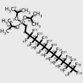 CC(C)O[Si](CCC(F)(F)C(F)(F)C(F)(F)C(F)(F)C(F)(F)C(F)(F)C(F)(F)C(F)(F)C(F)(F)C(F)(F)F)(OC(C)C)OC(C)C